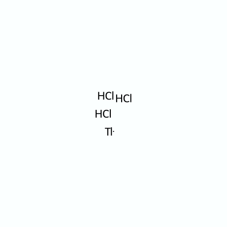 Cl.Cl.Cl.[Tl]